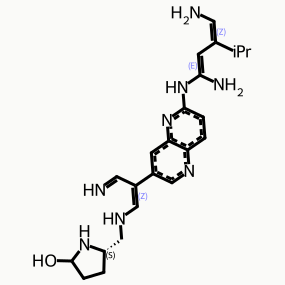 CC(C)C(=C/N)/C=C(\N)Nc1ccc2ncc(/C(C=N)=C/NC[C@@H]3CCC(O)N3)cc2n1